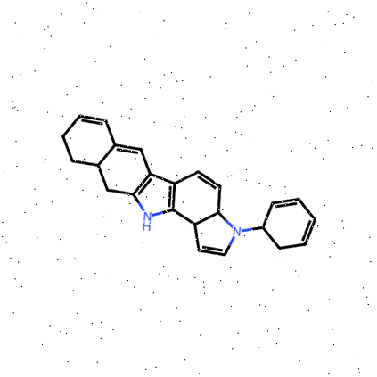 C1=CCC(N2C=CC3c4[nH]c5c(c4C=CC32)C=C2C=CCCC2C5)C=C1